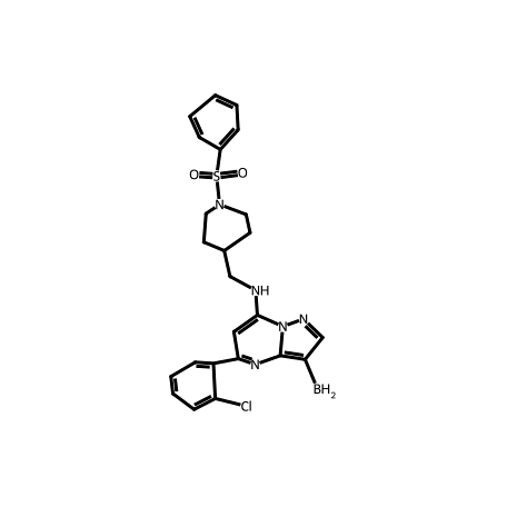 Bc1cnn2c(NCC3CCN(S(=O)(=O)c4ccccc4)CC3)cc(-c3ccccc3Cl)nc12